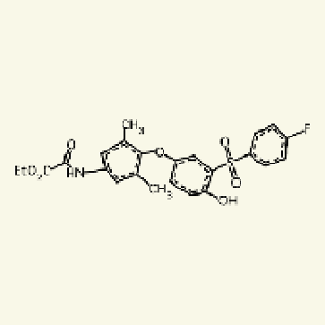 CCOC(=O)C(=O)Nc1cc(C)c(Oc2ccc(O)c(S(=O)(=O)c3ccc(F)cc3)c2)c(C)c1